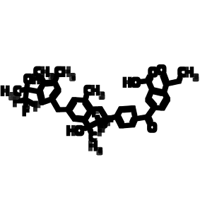 CCC(=O)c1ccc(C(=O)c2ccc(C(=O)Cc3c(C)cc(Cc4cc(C)c(C)c(C(C)(O)C(F)(F)F)c4)cc3C(C)(O)C(F)(F)F)cc2)cc1C(=O)O